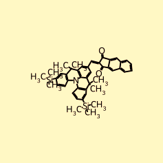 CC1(C)c2cc([Si](C)(C)C)ccc2N2c3ccc([Si](C)(C)C)cc3C(C)(C)c3cc(C=C4C(=O)c5cc6ccccc6cc5C4=O)cc1c32